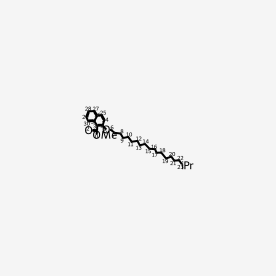 COC(=O)c1c(OCCCCCCCCCCCCCCCCCC(C)C)ccc2ccccc12